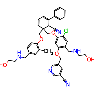 Cc1cc(CNCCO)ccc1OCC1(COc2cc(OCc3cncc(C#N)c3)c(CNCCO)cc2Cl)C=CC=C(c2ccccc2)C1C#N